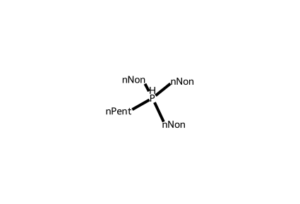 CCCCCCCCC[PH](CCCCC)(CCCCCCCCC)CCCCCCCCC